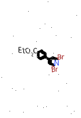 CCOC(=O)c1ccc(-c2cc(Br)nc(Br)c2)cc1